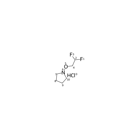 Cl.FC(F)CON1CCCC1